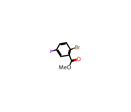 COC(=O)c1cc(I)ccc1Br